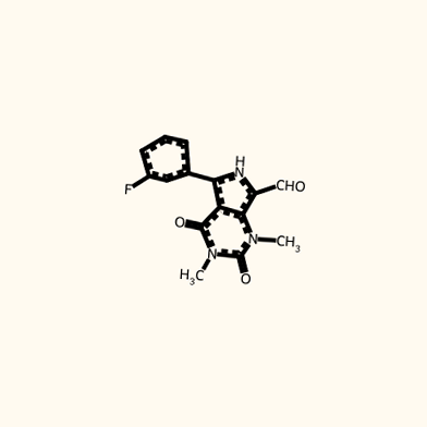 Cn1c(=O)c2c(-c3cccc(F)c3)[nH]c(C=O)c2n(C)c1=O